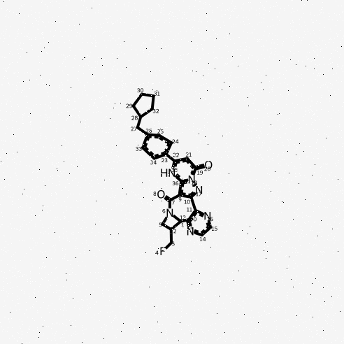 CC1C(CF)CN1C(=O)c1c(-c2cnccn2)nn2c(=O)cc(-c3ccc(CC4CCCC4)cc3)[nH]c12